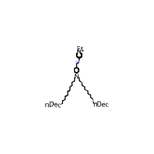 CCCCCCCCCCCCCCCCCCCCCCN(CCCCCCCCCCCCCCCCCCCCCC)c1ccc(/C=C/c2cc[n+](CC)cc2)cc1